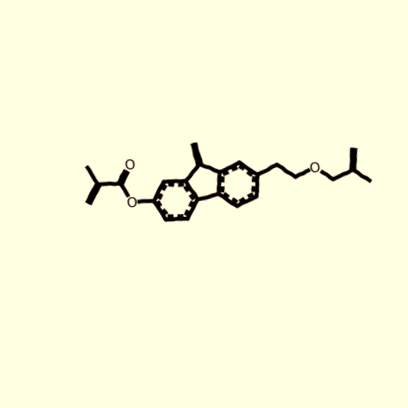 C=C(C)COCCc1ccc2c(c1)C(=C)c1cc(OC(=O)C(=C)C)ccc1-2